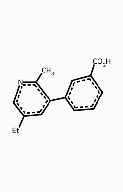 CCc1cnc(C)c(-c2cccc(C(=O)O)c2)c1